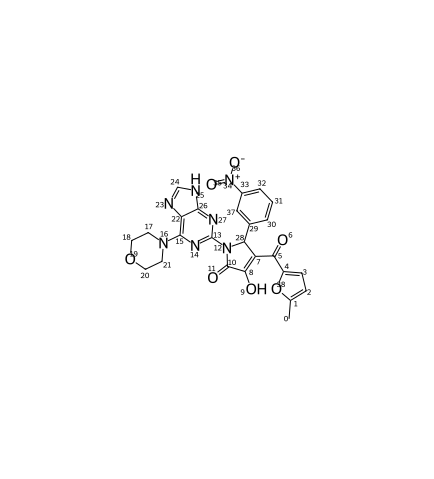 Cc1ccc(C(=O)C2=C(O)C(=O)N(c3nc(N4CCOCC4)c4nc[nH]c4n3)C2c2cccc([N+](=O)[O-])c2)o1